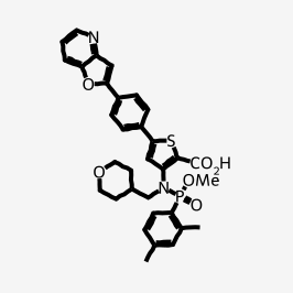 COP(=O)(c1ccc(C)cc1C)N(CC1CCOCC1)c1cc(-c2ccc(-c3cc4ncccc4o3)cc2)sc1C(=O)O